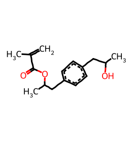 C=C(C)C(=O)OC(C)Cc1ccc(CC(C)O)cc1